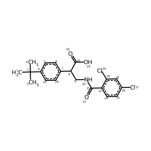 CC(C)(C)c1ccc(C(CNC(=O)c2ccc(Cl)cc2Cl)C(=O)O)cc1